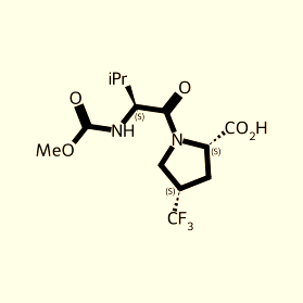 COC(=O)N[C@H](C(=O)N1C[C@@H](C(F)(F)F)C[C@H]1C(=O)O)C(C)C